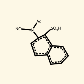 CC(=O)N(C#N)c1ccc2ccccc2c1S(=O)(=O)O